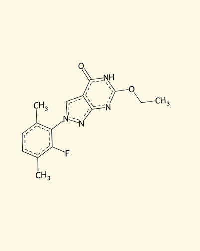 CCOc1nc2nn(-c3c(C)ccc(C)c3F)cc2c(=O)[nH]1